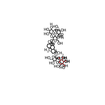 C=C1C[C@@]23CC[C@@H]4[C@](C)(C(=O)OC5OC(CO)C(O)C(O[C@@H]6O[C@H](CO)[C@@H](O)[C@H](O)[C@H]6O)C5O[C@@H]5O[C@H](CO)[C@@H](O)[C@H](O)[C@H]5O)CCC[C@@]4(C)C2CC[C@@]1(O[C@@H]1O[C@H](CO)[C@@H](O)[C@H](O[C@@H]2O[C@H](CO)[C@@H](O)[C@H](O)[C@H]2O)[C@H]1O[C@@H]1O[C@H](CO)[C@@H](O)[C@H](O)[C@H]1O)C3